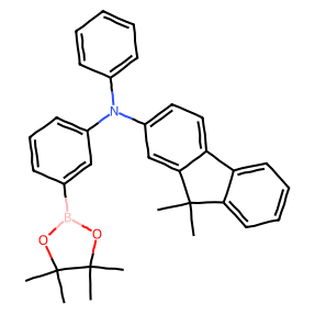 CC1(C)c2ccccc2-c2ccc(N(c3ccccc3)c3cccc(B4OC(C)(C)C(C)(C)O4)c3)cc21